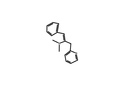 CN(C)C(=Cc1ccccc1)Cc1ccccn1